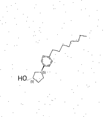 CCCCCCCCc1ccc([C@H]2CC[C@H](CO)C2)cc1